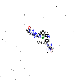 COc1cc(-c2nccc(-c3cccc(-c4cn5cc(CNC[C@H]6CCC(=O)N6)nc5cn4)c3Cl)c2Cl)ccc1CNC[C@@H]1CCC(=O)N1